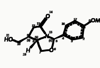 COc1ccc([C@H]2OC[C@@H]3[C@@H](CO)CC(=O)N23)cc1